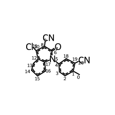 Cc1ccc(-n2c(=O)c(C#N)c(Cl)c3ccccc32)cc1C#N